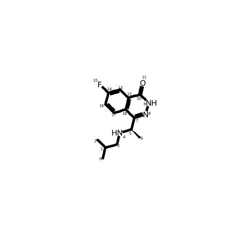 CC(C)CN[C@H](C)c1n[nH]c(=O)c2cc(F)ccc12